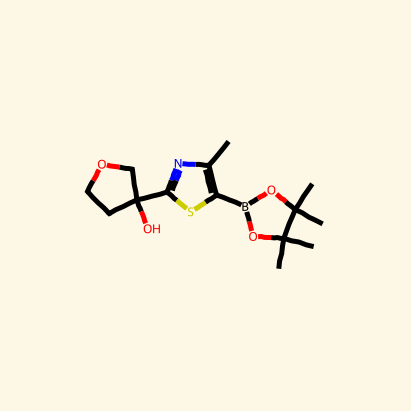 Cc1nc(C2(O)CCOC2)sc1B1OC(C)(C)C(C)(C)O1